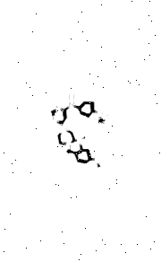 COc1ccc(C(=O)N2CCN(c3cc(Nc4ccc(OC(F)(F)F)cc4)ncn3)CC2)c(OC)c1